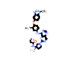 C=CC(=O)N[C@@]1(C)CCN(c2ncc3ncnc(Nc4ccc(Oc5ccc6c(c5)nnn6C)c(C)c4)c3n2)C1